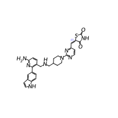 Nc1ccc(CNCC2CCN(c3nccc(/C=C4/SC(=O)NC4=O)n3)CC2)c(-c2ccc3[nH]ccc3c2)n1